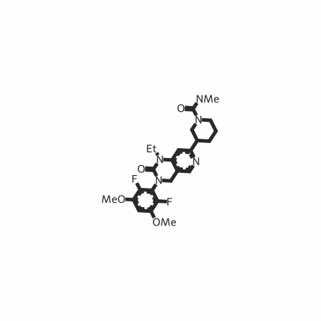 CCN1C(=O)N(c2c(F)c(OC)cc(OC)c2F)Cc2cnc(C3CCCN(C(=O)NC)C3)cc21